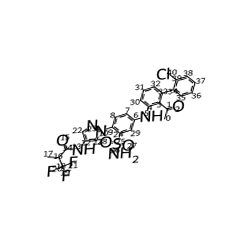 CC(=O)c1c(Nc2ccc(-n3cc(NC(=O)C(C)C(F)(F)F)cn3)c(S(N)(=O)=O)c2)cccc1-c1ccccc1Cl